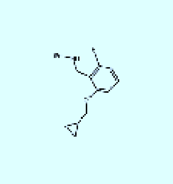 CC(C)NCc1c(F)cccc1OCC1CC1